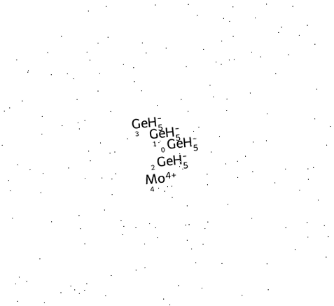 [GeH5-].[GeH5-].[GeH5-].[GeH5-].[Mo+4]